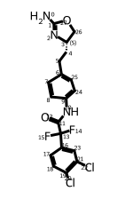 NC1=N[C@@H](CCc2ccc(NC(=O)C(F)(F)c3ccc(Cl)c(Cl)c3)cc2)CO1